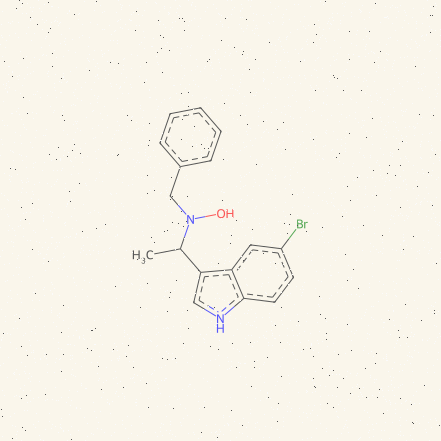 CC(c1c[nH]c2ccc(Br)cc12)N(O)Cc1ccccc1